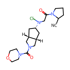 N#CC1CCCN1C(=O)CN(Cl)[C@@H]1C[C@@H]2CN(C(=O)N3CCOCC3)C[C@@H]2C1